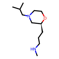 CNCCC[C@H]1CN(CC(C)C)CCO1